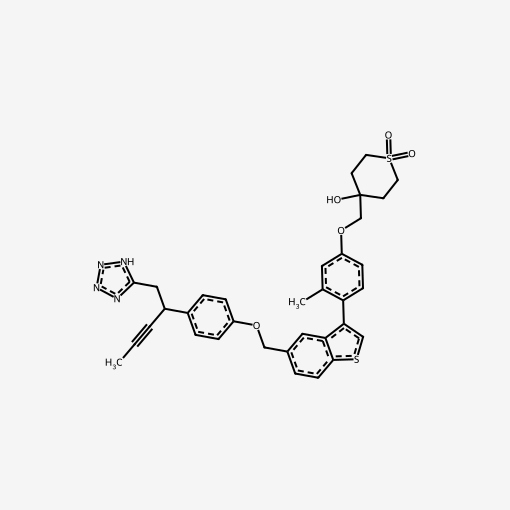 CC#CC(Cc1nnn[nH]1)c1ccc(OCc2ccc3scc(-c4ccc(OCC5(O)CCS(=O)(=O)CC5)cc4C)c3c2)cc1